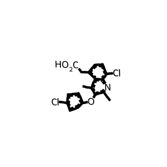 Cc1nc2c(Cl)ccc(CC(=O)O)c2c(C)c1Oc1ccc(Cl)cc1